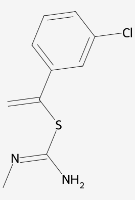 C=C(SC(N)=NC)c1cccc(Cl)c1